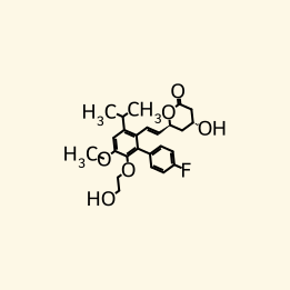 COc1cc(C(C)C)c(/C=C/[C@@H]2C[C@@H](O)CC(=O)O2)c(-c2ccc(F)cc2)c1OCCO